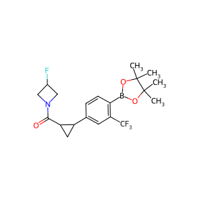 CC1(C)OB(c2ccc(C3CC3C(=O)N3CC(F)C3)cc2C(F)(F)F)OC1(C)C